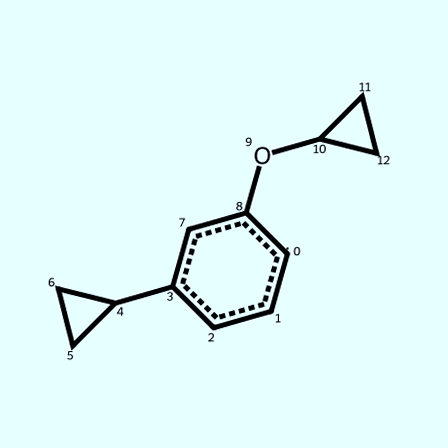 [c]1ccc(C2CC2)cc1OC1CC1